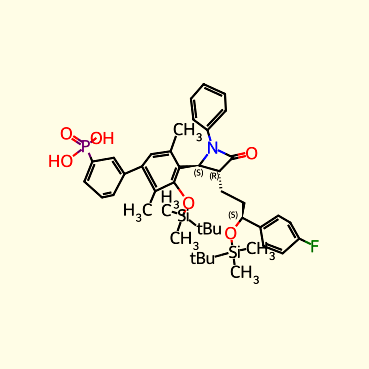 Cc1cc(-c2cccc(P(=O)(O)O)c2)c(C)c(O[Si](C)(C)C(C)(C)C)c1[C@@H]1[C@@H](CC[C@H](O[Si](C)(C)C(C)(C)C)c2ccc(F)cc2)C(=O)N1c1ccccc1